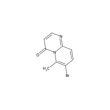 Cc1c(Br)ccc2nccc(=O)n12